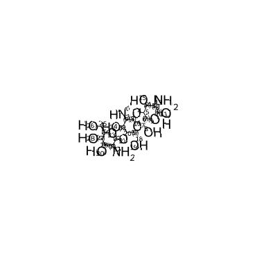 CN[C@H]1[C@H](OC2[C@@H](CO)O[C@@H](O)[C@H](N)[C@H]2O)O[C@H](CO)C(O[C@@H]2O[C@H](CO)[C@@H](O)[C@H](O)[C@H]2N)[C@@H]1O